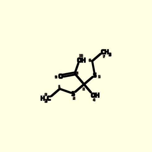 CCSC(O)(SCC)C(=O)O